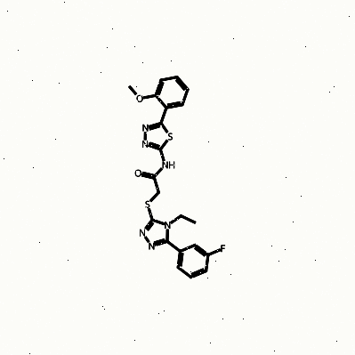 CCn1c(SCC(=O)Nc2nnc(-c3ccccc3OC)s2)nnc1-c1cccc(F)c1